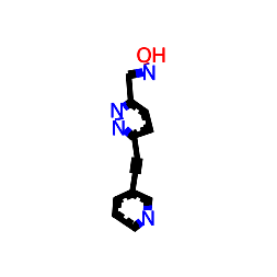 ON=Cc1ccc(C#Cc2cccnc2)nn1